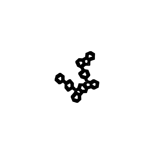 c1ccc(-c2ccc(-n3c4ccccc4c4cc5c6ccccc6n(-c6ccc(-c7cccc8c7oc7ccccc78)cc6)c5cc43)cc2)cc1